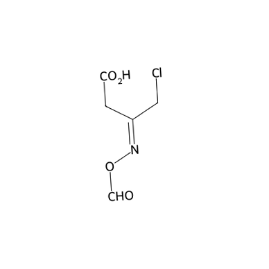 O=CON=C(CCl)CC(=O)O